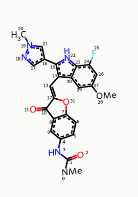 CNC(=O)Nc1ccc2c(c1)C(=O)/C(=C/c1c(-c3cnn(C)c3)[nH]c3c(F)cc(OC)cc13)O2